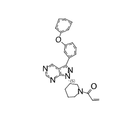 C=CC(=O)N1CCC[C@H](n2nc(-c3cccc(Oc4ccccc4)c3)c3cncnc32)C1